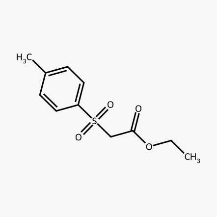 CCOC(=O)CS(=O)(=O)c1ccc(C)cc1